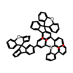 c1ccc(-c2ccccc2N(c2cccc(-c3ccc4c(c3)C3(c5ccccc5Oc5ccccc53)c3ccccc3-4)c2)c2ccccc2-c2ccc3c(c2)C2(c4ccccc4Oc4ccccc42)c2ccccc2-3)cc1